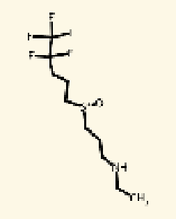 CCNCCC[S+]([O-])CCCC(F)(F)C(F)(F)F